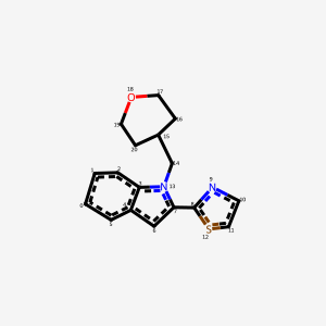 c1ccc2c(c1)cc(-c1nccs1)n2CC1CCOCC1